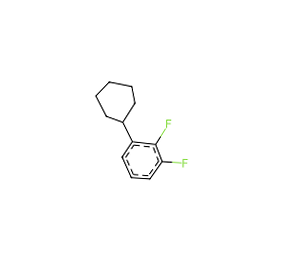 Fc1cccc(C2CCCCC2)c1F